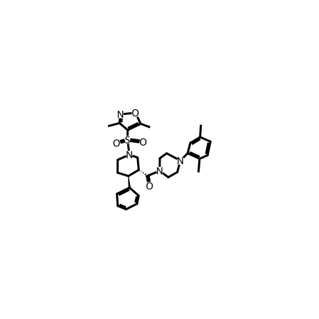 Cc1ccc(C)c(N2CCN(C(=O)[C@H]3CN(S(=O)(=O)c4c(C)noc4C)CC[C@@H]3c3ccccc3)CC2)c1